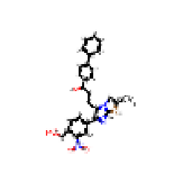 Cc1cn2c(/C=C/C(=O)c3ccc(-c4ccccc4)cc3)c(-c3ccc(CO)c([N+](=O)[O-])c3)nc2s1